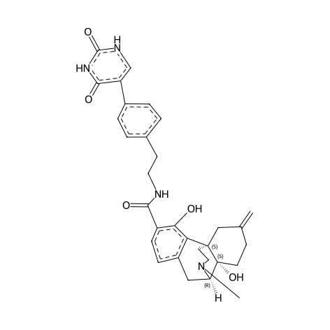 C=C1CC[C@@]2(O)[C@H]3Cc4ccc(C(=O)NCCc5ccc(-c6c[nH]c(=O)[nH]c6=O)cc5)c(O)c4[C@@]2(CCN3C)C1